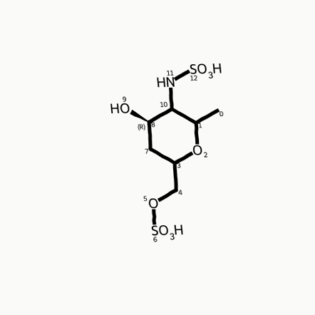 CC1OC(COS(=O)(=O)O)C[C@@H](O)C1NS(=O)(=O)O